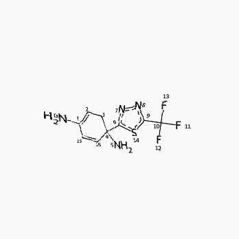 NC1=CCC(N)(c2nnc(C(F)(F)F)s2)C=C1